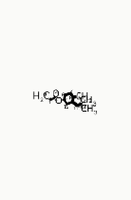 C=CC(=O)OC1CCC(=C)/C(=C\C(C)C)C1